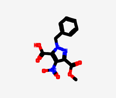 COC(=O)c1nn(Cc2ccccc2)c(C(=O)O)c1[N+](=O)[O-]